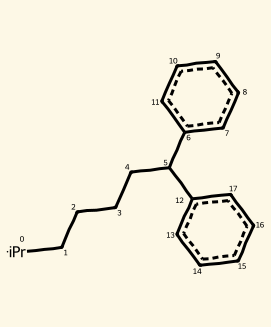 C[C](C)CCCCC(c1ccccc1)c1ccccc1